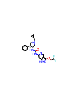 O=C(Nc1cc2[nH]nc(OCC(F)F)c2cn1)N[C@H]1CN(CC2CC2)C[C@@H]1c1ccccc1